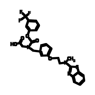 CN(CCOc1cccc(CN(CC(=O)O)C(=O)Oc2cccc(C(F)(F)F)c2)c1)c1nc2ccccc2s1